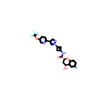 O=C(NC12CC(n3cc(-c4ccc(OC(F)(F)F)cn4)cn3)(C1)C2)[C@H]1C[C@@H](O)c2cc(F)ccc2O1